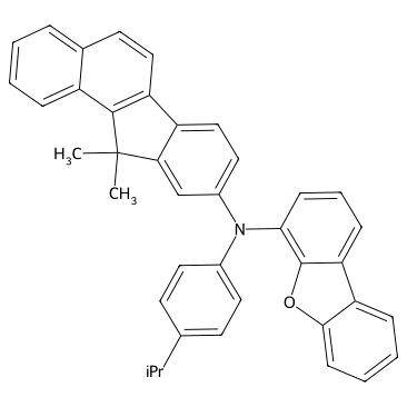 CC(C)c1ccc(N(c2ccc3c(c2)C(C)(C)c2c-3ccc3ccccc23)c2cccc3c2oc2ccccc23)cc1